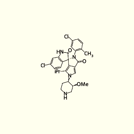 CO[C@H]1CNCC[C@H]1n1cc2c(c1C(C)C)[C@@]1(C(=O)Nc3cc(Cl)ccc31)N(c1cc(Cl)ccc1C)C2=O